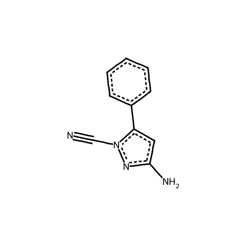 N#Cn1nc(N)cc1-c1ccccc1